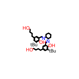 CC(C)(C)c1cc(CCCCO)cc(/C=N/C2CCCCC2/N=C/c2cc(CCCCO)cc(C(C)(C)C)c2O)c1O